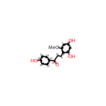 COc1cc(O)cc(O)c1CCC(=O)c1ccc(O)cc1